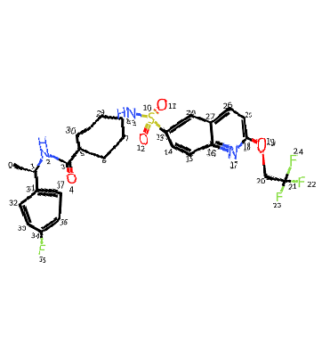 C[C@@H](NC(=O)C1CCC(NS(=O)(=O)c2ccc3nc(OCC(F)(F)F)ccc3c2)CC1)c1ccc(F)cc1